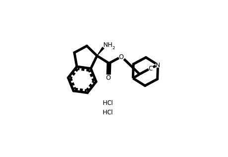 Cl.Cl.N[C@]1(C(=O)OC2CN3CCC2CC3)CCc2ccccc21